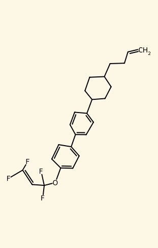 C=CCCC1CCC(c2ccc(-c3ccc(OC(F)(F)C=C(F)F)cc3)cc2)CC1